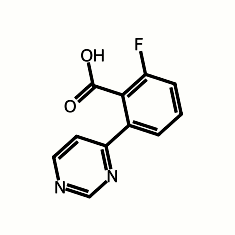 O=C(O)c1c(F)cccc1-c1ccncn1